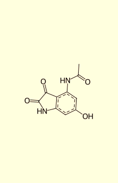 CC(=O)Nc1cc(O)cc2c1C(=O)C(=O)N2